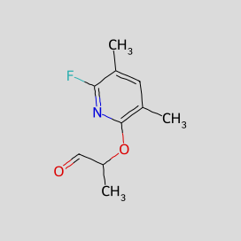 Cc1cc(C)c(OC(C)C=O)nc1F